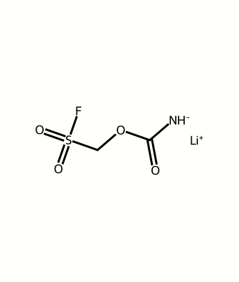 [Li+].[NH-]C(=O)OCS(=O)(=O)F